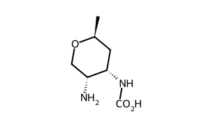 C[C@H]1C[C@H](NC(=O)O)[C@H](N)CO1